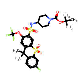 CC(C)(C)OC(=O)N1CCC(NS(=O)(=O)c2cc3c(cc2OC(F)(F)F)C(C)(C)c2ccc(F)cc2S3(=O)=O)CC1